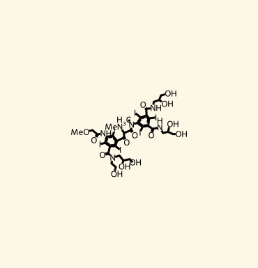 CNC(C(=O)c1c(I)c(NC(=O)COC)c(I)c(C(=O)N(CCO)CC(O)CO)c1I)C(=O)N(C)c1c(I)c(C(=O)NCC(O)CO)c(I)c(C(=O)NCC(O)CO)c1I